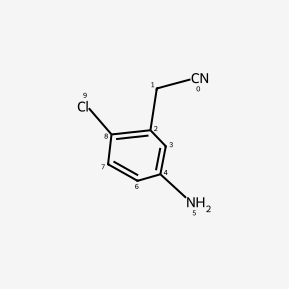 N#CCc1cc(N)ccc1Cl